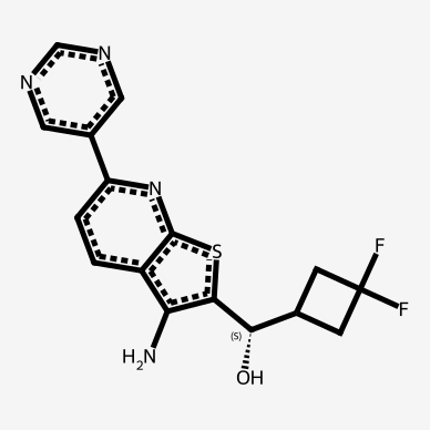 Nc1c([C@@H](O)C2CC(F)(F)C2)sc2nc(-c3cncnc3)ccc12